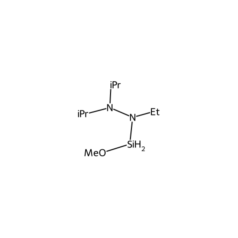 CCN([SiH2]OC)N(C(C)C)C(C)C